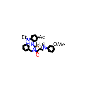 CCNc1ccc(C(C)=O)cc1N=C1SC(=CN(C)c2cccc(OC)c2)C(=O)N1Cc1ccccc1